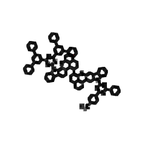 Cc1ccc(-c2nc(-c3ccccc3)nc(-n3c4ccccc4c4cc5c(cc43)-c3cccc4ccc(-c6ccc7cccc8c7c6-c6ccc7c9ccccc9n(-c9nc(-c%10cc(-c%11ccccc%11)cc(-c%11ccccc%11)c%10)nc(-c%10cc(-c%11ccccc%11)cc(-c%11ccccc%11)c%10)n9)c7c6S8)c(c34)S5)n2)cc1